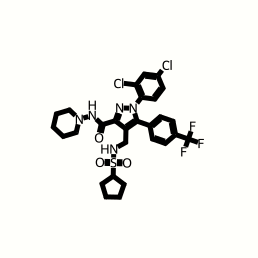 O=C(NN1CCCCC1)c1nn(-c2ccc(Cl)cc2Cl)c(-c2ccc(C(F)(F)F)cc2)c1CNS(=O)(=O)C1CCCC1